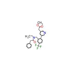 CCN(Cc1cc(C(F)(F)F)ccc1-c1cncc(CC(=O)OC)c1)C(=O)Cc1ccccc1